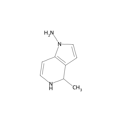 CC1NC=Cc2c1ccn2N